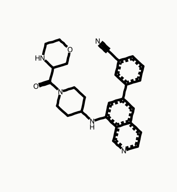 N#Cc1cccc(-c2cc(NC3CCN(C(=O)C4COCCN4)CC3)c3cnccc3c2)c1